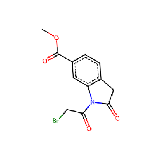 COC(=O)c1ccc2c(c1)N(C(=O)CBr)C(=O)C2